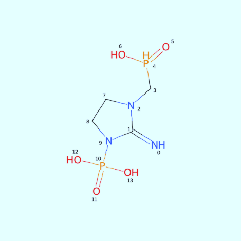 N=C1N(C[PH](=O)O)CCN1P(=O)(O)O